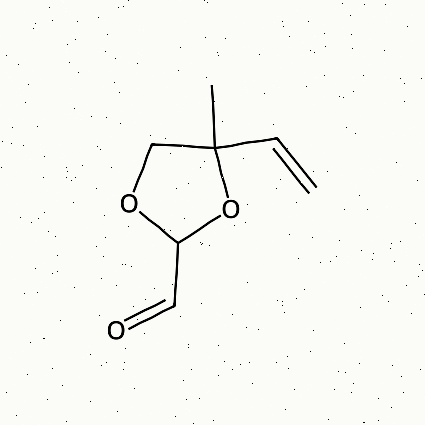 C=CC1(C)COC(C=O)O1